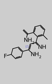 C=C(N)c1cccc(C)c1C(=N)/C=C(\N)C1=CCC(F)C=C1